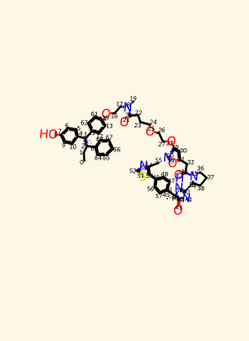 CC/C(=C(\c1ccc(O)cc1)c1ccc(OCCN(C)C(=O)CCCOCCOc2cc(CC(=O)N3CCC[C@H]3C3=NC(=O)[C@@](C)(c4ccc(-c5scnc5C)cc4)N3)on2)cc1)c1ccccc1